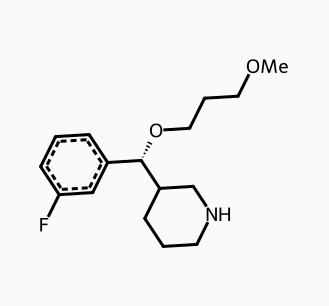 COCCCO[C@@H](c1cccc(F)c1)C1CCCNC1